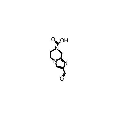 O=Cc1cn2c(n1)CN(C(=O)O)CC2